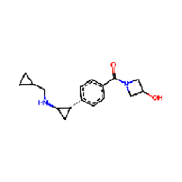 O=C(c1ccc([C@@H]2C[C@H]2NCC2CC2)cc1)N1CC(O)C1